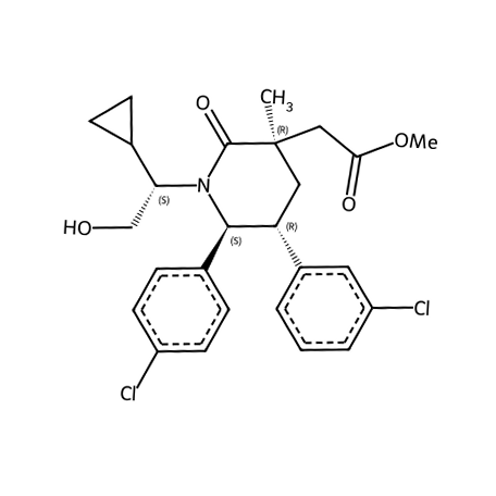 COC(=O)C[C@@]1(C)C[C@H](c2cccc(Cl)c2)[C@@H](c2ccc(Cl)cc2)N([C@H](CO)C2CC2)C1=O